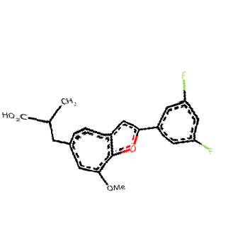 COc1cc(CC(C)C(=O)O)cc2cc(-c3cc(F)cc(F)c3)oc12